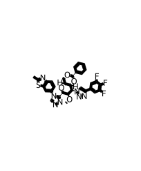 CO[C@@H]1[C@@H](n2cc(-c3cc(F)c(F)c(F)c3)nn2)[C@H]2O[C@@H](c3ccccc3)OC[C@H]2O[C@H]1c1nncn1-c1ccc2nc(C)sc2c1